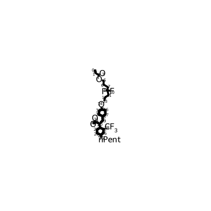 C=CC(=O)OCCCC(F)(F)CCCOc1ccc2cc(-c3ccc(CCCCC)cc3C(F)(F)F)c(=O)oc2c1